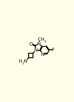 Cn1c(=O)n(C2CC(N)C2)c2ncc(F)cc21